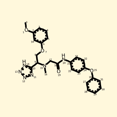 COc1cccc(OCC(c2nnn[nH]2)N(C)CC(=O)Nc2ccc(Oc3ccccc3)cc2)c1